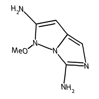 COn1c(N)cc2cnc(N)n21